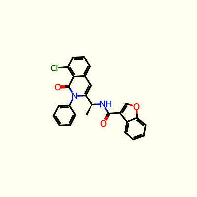 C[C@H](NC(=O)c1coc2ccccc12)c1cc2cccc(Cl)c2c(=O)n1-c1ccccc1